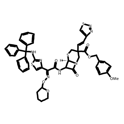 COc1ccc(COC(=O)C2(C=Cc3csnn3)CS[C@@H]3C(NC(=O)C(=NOC4CCCCO4)c4csc(NC(c5ccccc5)(c5ccccc5)c5ccccc5)n4)C(=O)N3C2)cc1